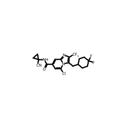 N#CC1(NC(=O)c2cc(Cl)n3c(CC4CCC(F)(F)CC4)c(C(F)(F)F)nc3c2)CC1